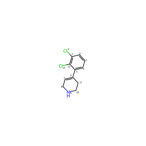 Clc1cccc(C2=CCNCC2)c1Cl